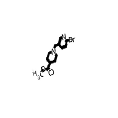 COC(=O)C1CCN(Cc2ccc(Br)nc2)CC1